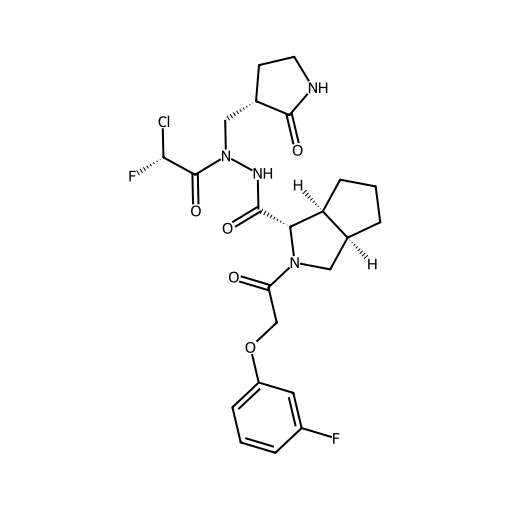 O=C1NCC[C@H]1CN(NC(=O)[C@@H]1[C@H]2CCC[C@H]2CN1C(=O)COc1cccc(F)c1)C(=O)[C@H](F)Cl